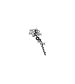 CCCCCCCCCNCc1cc2cc(-c3[nH]c(=O)c(C(=O)O)c(O)c3CC)ccc2n1C